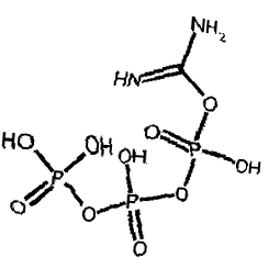 N=C(N)OP(=O)(O)OP(=O)(O)OP(=O)(O)O